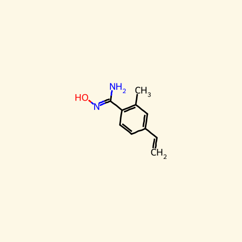 C=Cc1ccc(/C(N)=N/O)c(C)c1